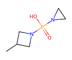 CC1CN(P(=O)(O)N2CC2)C1